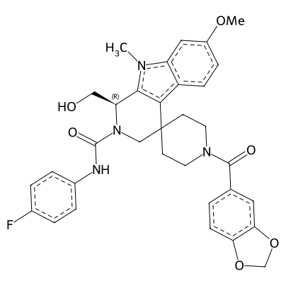 COc1ccc2c3c(n(C)c2c1)[C@H](CO)N(C(=O)Nc1ccc(F)cc1)CC31CCN(C(=O)c2ccc3c(c2)OCO3)CC1